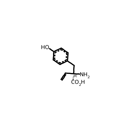 C=C[C@](N)(Cc1ccc(O)cc1)C(=O)O